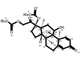 COC(=O)O[C@]1(C(=O)COC(=O)OCC(C)C)CC[C@H]2[C@@H]3CCC4=CC(=O)C=C[C@]4(C)[C@@]3(Cl)C(O)C[C@@]21C